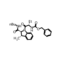 CCCCNC(=O)[C@@H]1[C@@H](C)c2ccccc2N1C(=O)[C@H](CC)NC(=O)OCc1ccccc1